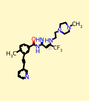 Cc1ccc(C(=O)NC(=N)/C=C(\NCCN2CCN(C)CC2)C(F)(F)F)cc1C#Cc1cccnc1